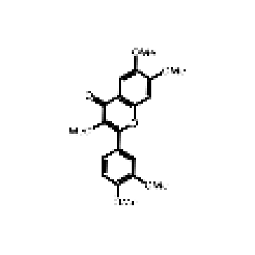 COc1ccc(-c2oc3cc(OC)c(OC)cc3c(=O)c2OC)cc1OC